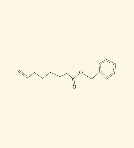 C=CCCCCCC(=O)OCc1ccccc1